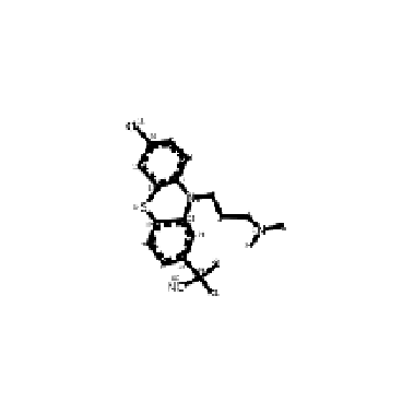 CN(C)CCCN1c2ccc(Cl)cc2Sc2ccc(C(C)(C)C#N)cc21